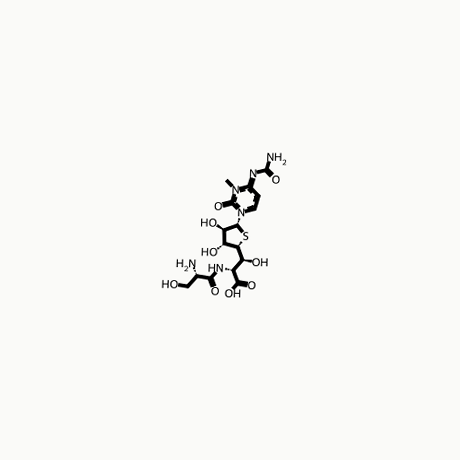 Cn1c(=NC(N)=O)ccn([C@@H]2S[C@H]([C@@H](O)[C@@H](NC(=O)[C@@H](N)CO)C(=O)O)[C@H](O)[C@H]2O)c1=O